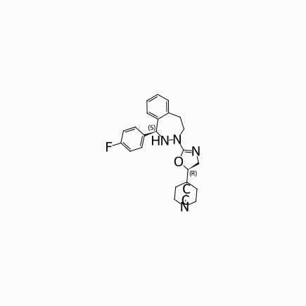 Fc1ccc([C@@H]2NN(C3=NC[C@@H](C45CCN(CC4)CC5)O3)CCc3ccccc32)cc1